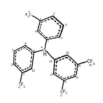 FC(F)(F)c1cccc([SH](c2cccc(C(F)(F)F)c2)c2cc(C(F)(F)F)cc(C(F)(F)F)c2)c1